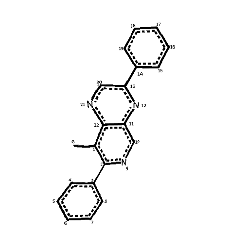 Cc1c(-c2ccccc2)ncc2nc(-c3ccccc3)[c]nc12